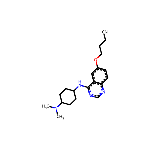 CN(C)C1CCC(Nc2ncnc3ccc(OCCCC#N)cc23)CC1